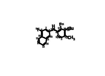 Cc1cnc(Nc2cc(F)c3cnccc3c2)c(F)c1C(C)(C)C